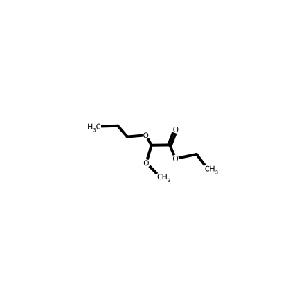 CCCOC(OC)C(=O)OCC